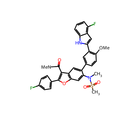 CNC(=O)c1c(-c2ccc(F)cc2)oc2cc(N(C)S(C)(=O)=O)c(-c3ccc(OC)c(-c4cc5c(F)cccc5[nH]4)c3)cc12